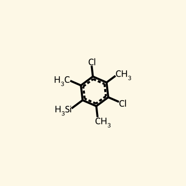 Cc1c([SiH3])c(C)c(Cl)c(C)c1Cl